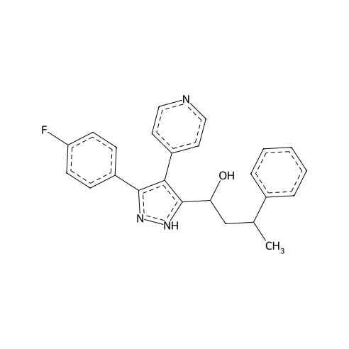 CC(CC(O)c1[nH]nc(-c2ccc(F)cc2)c1-c1ccncc1)c1ccccc1